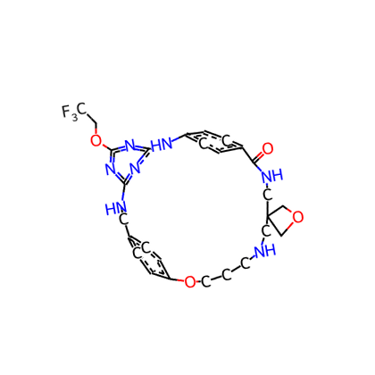 O=C1NCC2(CNCCCOc3ccc(cc3)CNc3nc(nc(OCC(F)(F)F)n3)Nc3ccc1cc3)COC2